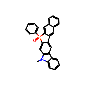 Cn1c2ccccc2c2cc3c(cc21)P(=O)(c1ccccc1)c1cc2ccccc2cc1-3